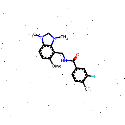 COc1ccc2c(c1CNC(=O)c1ccc(C(F)(F)F)c(F)c1)N(C)CN2C